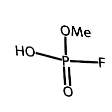 COP(=O)(O)F